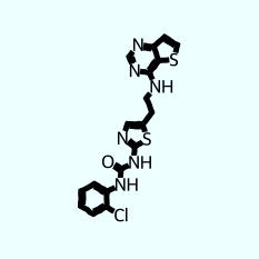 O=C(Nc1ncc(CCNc2ncnc3ccsc23)s1)Nc1ccccc1Cl